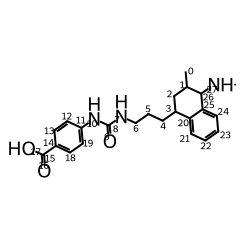 CC1CC(CCCNC(=O)Nc2ccc(C(=O)O)cc2)c2ccccc2C1[NH]